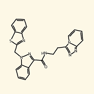 O=C(NCCc1nnc2ccccn12)c1nn(Cc2nc3ccccc3s2)c2ccccc12